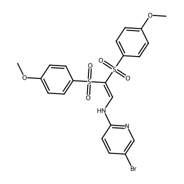 COc1ccc(S(=O)(=O)C(=CNc2ccc(Br)cn2)S(=O)(=O)c2ccc(OC)cc2)cc1